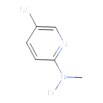 CCN(C)c1ccc(C#N)cn1